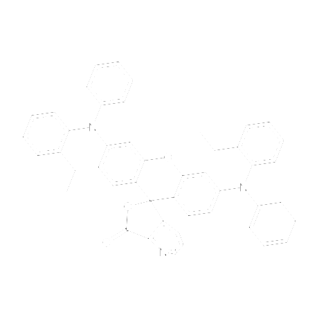 CCc1ccccc1N(C1=CC=CCC1)c1ccc2c(c1)Oc1cc(N(c3ccccc3)c3ccccc3CC)ccc1C21OC(=O)c2ncccc21